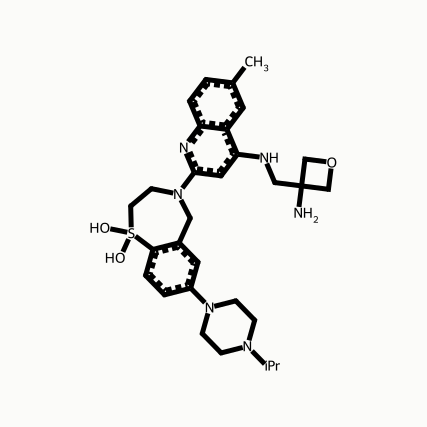 Cc1ccc2nc(N3CCS(O)(O)c4ccc(N5CCN(C(C)C)CC5)cc4C3)cc(NCC3(N)COC3)c2c1